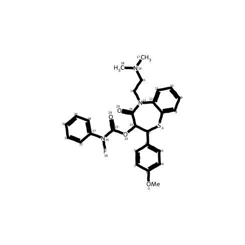 COc1ccc(C2Sc3ccccc3N(CCN(C)C)C(=O)C2OC(=O)N(F)c2ccccc2)cc1